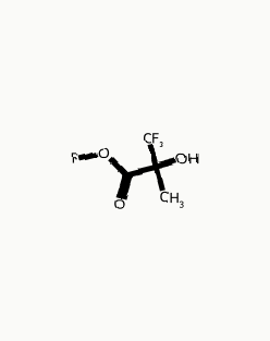 CC(O)(C(=O)OF)C(F)(F)F